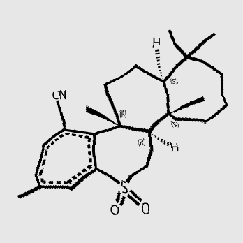 Cc1cc(C#N)c2c(c1)S(=O)(=O)C[C@@H]1[C@@]3(C)CCCC(C)(C)[C@@H]3CC[C@@]21C